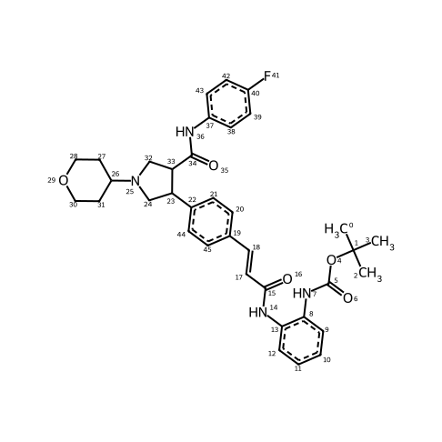 CC(C)(C)OC(=O)Nc1ccccc1NC(=O)C=Cc1ccc(C2CN(C3CCOCC3)CC2C(=O)Nc2ccc(F)cc2)cc1